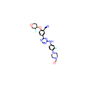 N#Cc1cc(-c2ncnc(Nc3ccc(N4CCN(C=O)CC4)c(F)c3)n2)ccc1OC1CCOCC1F